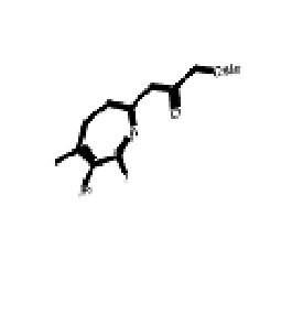 COCC(=O)CC1CCC(C)=C(C(C)C)C(I)=N1